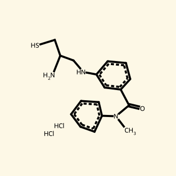 CN(C(=O)c1cccc(NCC(N)CS)c1)c1ccccc1.Cl.Cl